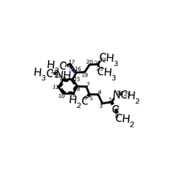 C=C=C(CCC(=C)Cc1cccc(NC)c1/C(=C\C)CCC(C)C)N=C